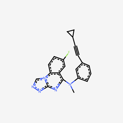 CN(c1cccc(C#CC2CC2)c1)c1nc2nncn2c2ccc(F)cc12